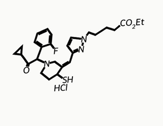 CCOC(=O)CCCCn1ccc(/C=C2\CN(C(C(=O)C3CC3)c3ccccc3F)CCC2S)n1.Cl